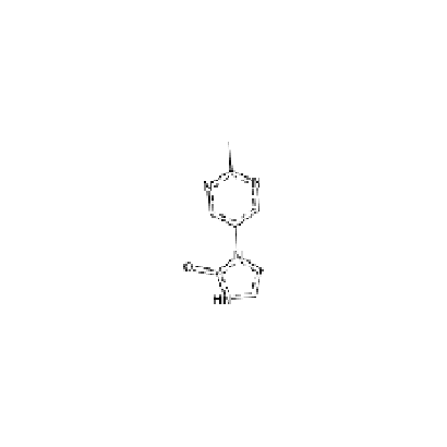 Cc1ncc(-n2cc[nH]c2=O)cn1